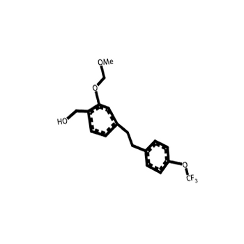 COCOc1cc(CCc2ccc(OC(F)(F)F)cc2)ccc1CO